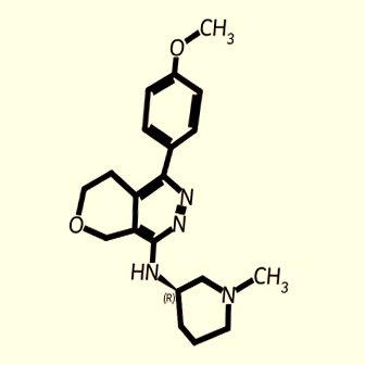 COc1ccc(-c2nnc(N[C@@H]3CCCN(C)C3)c3c2CCOC3)cc1